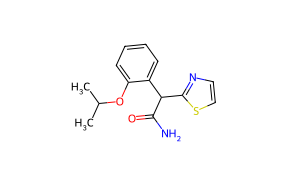 CC(C)Oc1ccccc1C(C(N)=O)c1nccs1